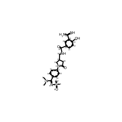 CN(C)/C(=N/S(C)(=O)=O)c1ccc(N2CC(CNC(=O)c3ccc(O)c(C(=N)N)c3)CC2=O)cc1